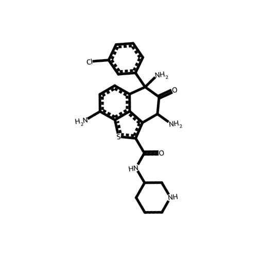 Nc1ccc2c3c(c(C(=O)NC4CCCNC4)sc13)C(N)C(=O)C2(N)c1cccc(Cl)c1